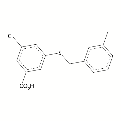 Cc1cccc(CSc2cc(Cl)cc(C(=O)O)c2)c1